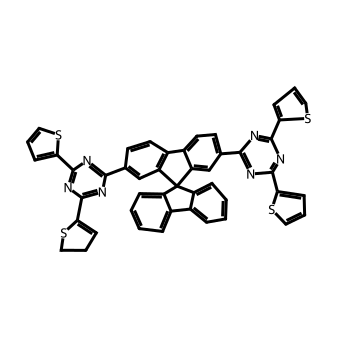 C1=C(c2nc(-c3ccc4c(c3)C3(c5ccccc5-c5ccccc53)c3cc(-c5nc(-c6cccs6)nc(-c6cccs6)n5)ccc3-4)nc(-c3cccs3)n2)SCC1